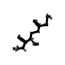 COC(=O)CC[C@H](O)C(=O)OC